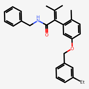 CCc1cccc(COc2ccc(C)c(C(C(=O)NCc3ccccc3)=C(C)C)c2)c1